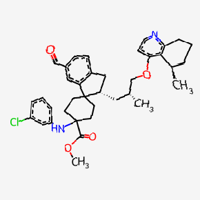 COC(=O)C1(Nc2cccc(Cl)c2)CCC2(CC1)c1cc(C=O)ccc1C[C@@H]2C[C@@H](C)COc1ccnc2c1[C@H](C)CCC2